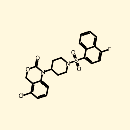 O=C1OCc2c(Cl)cccc2N1C1CCN(S(=O)(=O)c2ccc(F)c3ccccc23)CC1